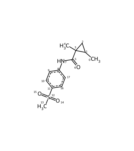 CC1CC1(C)C(=O)Nc1ccc(S(C)(=O)=O)cc1